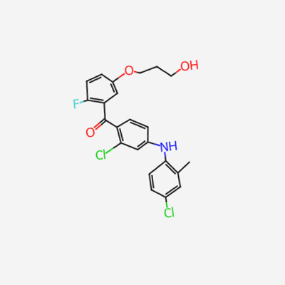 Cc1cc(Cl)ccc1Nc1ccc(C(=O)c2cc(OCCCO)ccc2F)c(Cl)c1